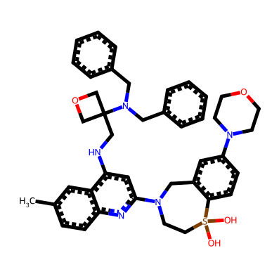 Cc1ccc2nc(N3CCS(O)(O)c4ccc(N5CCOCC5)cc4C3)cc(NCC3(N(Cc4ccccc4)Cc4ccccc4)COC3)c2c1